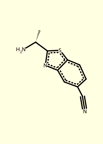 C[C@@H](N)c1nc2cc(C#N)ccc2s1